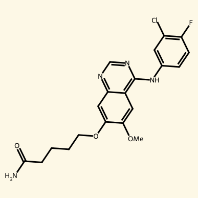 COc1cc2c(Nc3ccc(F)c(Cl)c3)ncnc2cc1OCCCCC(N)=O